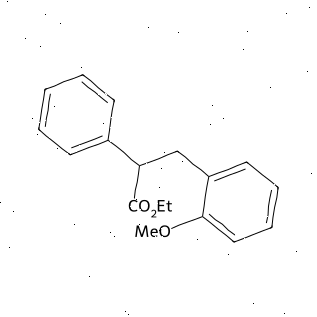 CCOC(=O)C(Cc1ccccc1OC)c1ccccc1